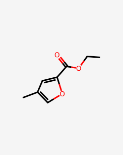 CCOC(=O)c1cc(C)co1